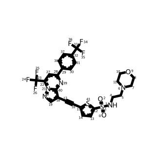 O=S(=O)(NCCN1CCOCC1)c1ccc(C#Cc2cnn3c(C(F)(F)F)cc(-c4ccc(C(F)(F)F)cc4)nc23)s1